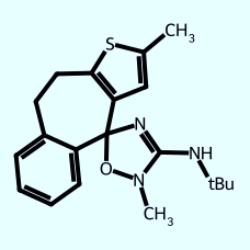 Cc1cc2c(s1)CCc1ccccc1C21N=C(NC(C)(C)C)N(C)O1